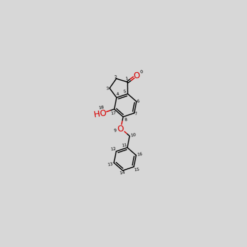 O=C1CCc2c1ccc(OCc1ccccc1)c2O